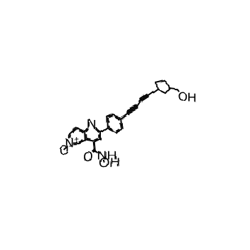 O=C(NO)c1cc(-c2ccc(C#CC#CC3CCC(CO)C3)cc2)nc2cc[n+]([O-])cc12